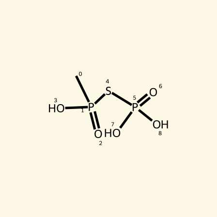 CP(=O)(O)SP(=O)(O)O